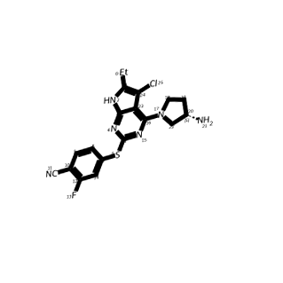 CCc1[nH]c2nc(Sc3ccc(C#N)c(F)c3)nc(N3CC[C@H](N)C3)c2c1Cl